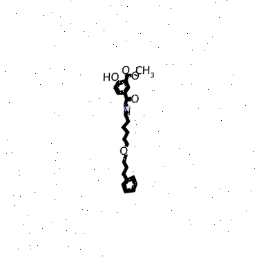 COC(=O)c1cc(C(=O)/C=N/CCCCCCOCCCCc2ccccc2)ccc1O